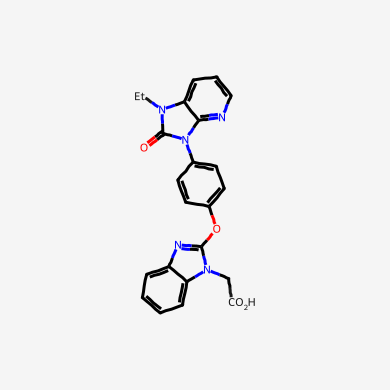 CCn1c(=O)n(-c2ccc(Oc3nc4ccccc4n3CC(=O)O)cc2)c2ncccc21